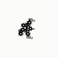 Cc1cc2c3c(c1)-n1c4ccc(C(C)(C)C)cc4n4c5c(ccc6oc7ccccc7c65)c(c14)B3c1c3ccccc3n3c4cc(C(C)(C)C)ccc4n-2c13